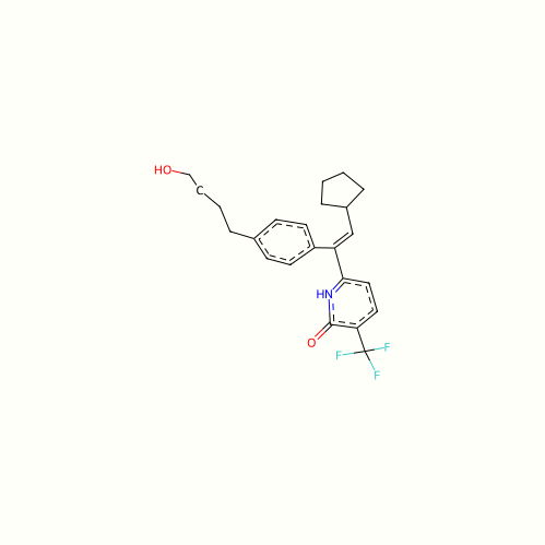 O=c1[nH]c(/C(=C/C2CCCC2)c2ccc(CCCCO)cc2)ccc1C(F)(F)F